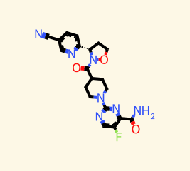 N#Cc1ccc([C@@H]2CCON2C(=O)C2CCN(c3ncc(F)c(C(N)=O)n3)CC2)nc1